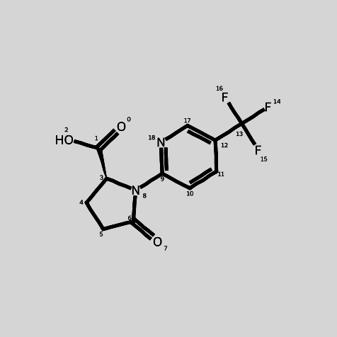 O=C(O)[C@@H]1CCC(=O)N1c1ccc(C(F)(F)F)cn1